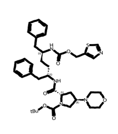 CC(C)(C)OC(=O)N1C[C@H](N2CCOCC2)C[C@H]1C(=O)N[C@@H](CC[C@@H](Cc1ccccc1)NC(=O)OCc1cncs1)Cc1ccccc1